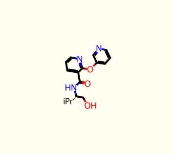 CC(C)[C@@H](CO)NC(=O)c1cccnc1Oc1cccnc1